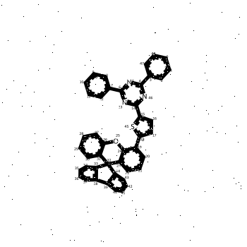 c1ccc(-c2nc(-c3ccccc3)nc(-c3ccc(-c4cccc5c4Oc4ccccc4C54c5ccccc5-c5ccccc54)s3)n2)cc1